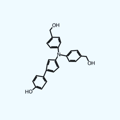 OCc1ccc(N(c2ccc(CO)cc2)c2ccc(-c3ccc(O)cc3)cc2)cc1